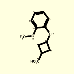 O=C(O)C1CC(Oc2ccccc2OC(F)(F)F)C1